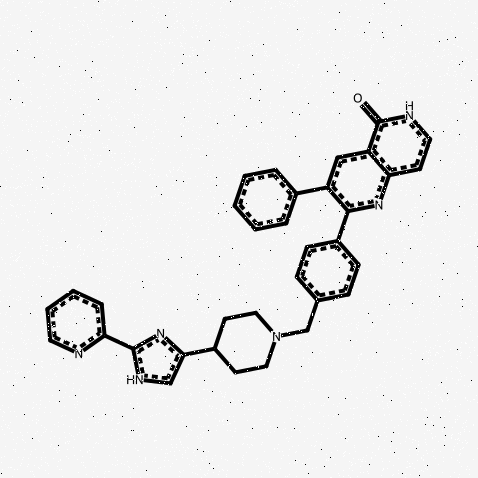 O=c1[nH]ccc2nc(-c3ccc(CN4CCC(c5c[nH]c(-c6ccccn6)n5)CC4)cc3)c(-c3ccccc3)cc12